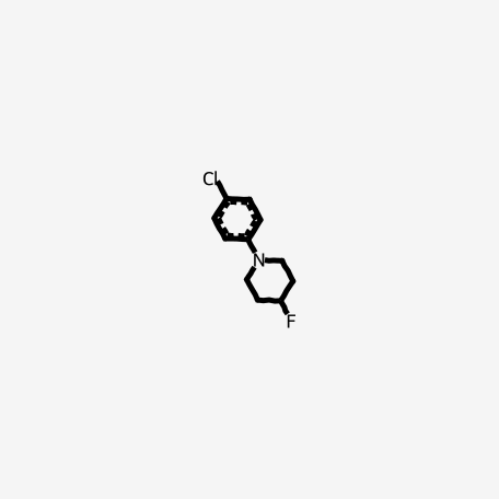 FC1CCN(c2ccc(Cl)cc2)CC1